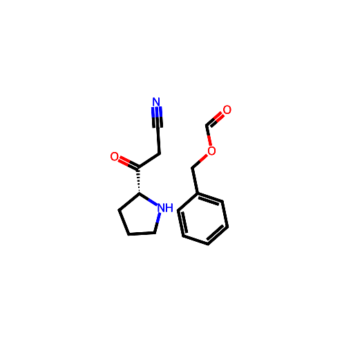 N#CCC(=O)[C@H]1CCCN1.O=COCc1ccccc1